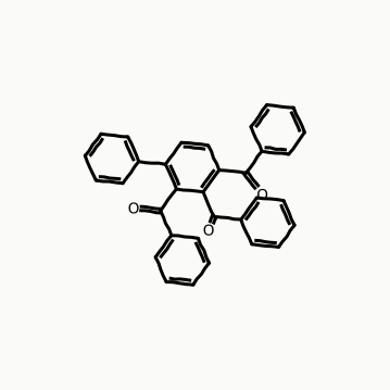 O=C(c1ccccc1)c1ccc(-c2ccccc2)c(C(=O)c2ccccc2)c1C(=O)c1ccccc1